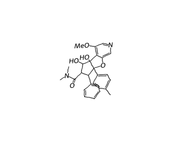 COc1cncc2c1C1(O)C(O)C(C(=O)N(C)C)C(c3ccccc3)C1(c1ccc(C)cc1)O2